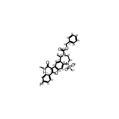 CNC(=O)c1c(-c2ccc(F)cc2)oc2cc3c(cc12)C(C)N(C(=O)OCc1ccccc1)CCN3S(C)(=O)=O